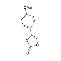 COc1ccc(-c2[c]oc(=O)o2)cc1